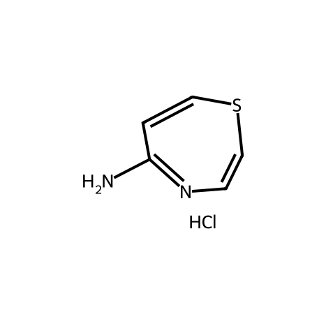 Cl.NC1=NC=CSC=C1